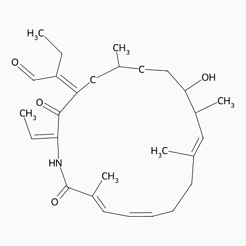 C/C=C1/NC(=O)/C(C)=C/C=C\CC/C(C)=C/C(C)C(O)CCC(C)C/C(=C(/C=O)CC)C1=O